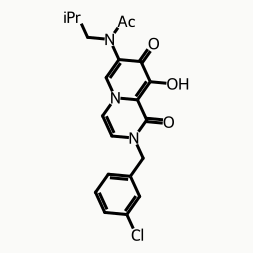 CC(=O)N(CC(C)C)c1cn2ccn(Cc3cccc(Cl)c3)c(=O)c2c(O)c1=O